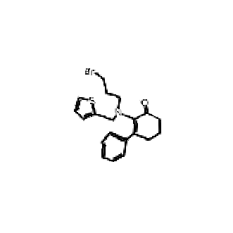 O=C1CCCC(c2ccccc2)=C1N(CCCBr)Cc1cccs1